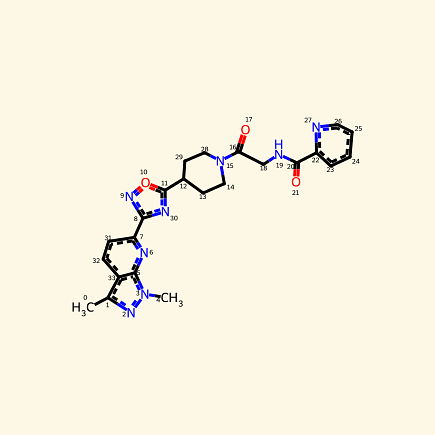 Cc1nn(C)c2nc(-c3noc(C4CCN(C(=O)CNC(=O)c5ccccn5)CC4)n3)ccc12